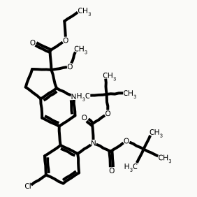 CCOC(=O)C1(OC)CCc2cc(-c3cc(Cl)ccc3N(C(=O)OC(C)(C)C)C(=O)OC(C)(C)C)cnc21